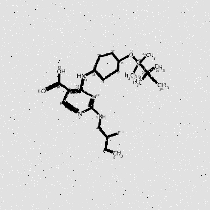 CCC(F)CNc1ncc(C(=O)O)c(NC2CCC(O[Si](C)(C)C(C)(C)C)CC2)n1